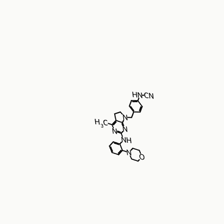 Cc1nc(Nc2ccccc2N2CCOCC2)nc2c1CCN2Cc1ccc(NC#N)cc1